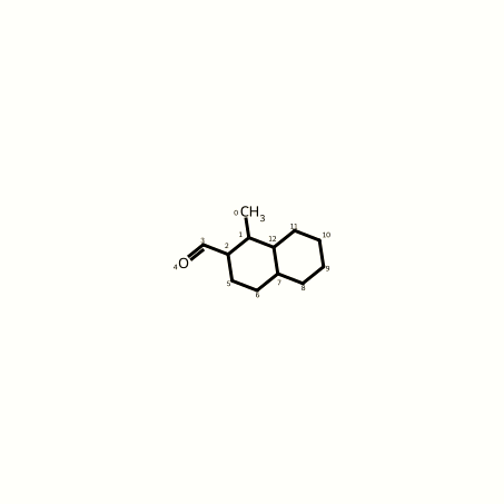 CC1C(C=O)CCC2CCCCC21